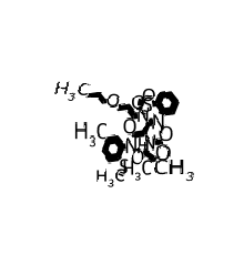 CCCCOCCCN1C(C(C(=O)Nc2cc(C)ccc2SC)N2C(=O)OC(C)(C)C2=O)=Nc2ccccc2S1(=O)=O